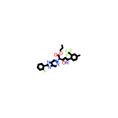 CCCOC(=O)C(c1cc(-c2ccc(C)cc2C(F)(F)F)no1)n1cc2nc(-c3ccccc3F)nc-2cn1